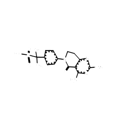 COc1nc(N)c2c(n1)CCN(c1ccc(C(C)(C)S(C)(=O)=O)cc1)C2=O